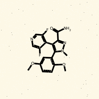 COc1ccc(OC)c(-c2c(-c3c(F)cncc3F)c(C(N)=O)nn2C)c1